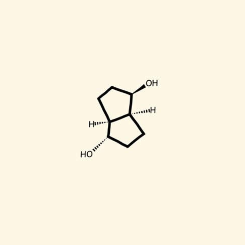 O[C@@H]1CC[C@H]2[C@@H]1CC[C@@H]2O